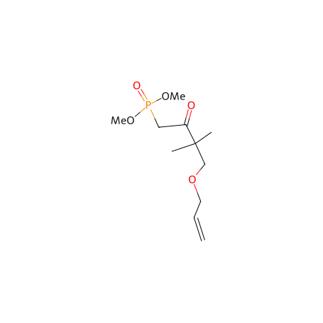 C=CCOCC(C)(C)C(=O)CP(=O)(OC)OC